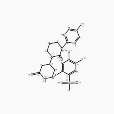 CCc1cnc([C@]2(Oc3cc(F)c(S(C)(=O)=O)cc3F)CCCN(C3CCNC(=O)C3)C2=O)nc1